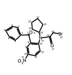 O=C(c1ccccc1)c1cc([N+](=O)[O-])ccc1N(C(=O)CBr)C1CCCC1